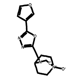 [O-][N+]12CCC(CC1)N(c1nnc(-c3ccoc3)o1)CC2